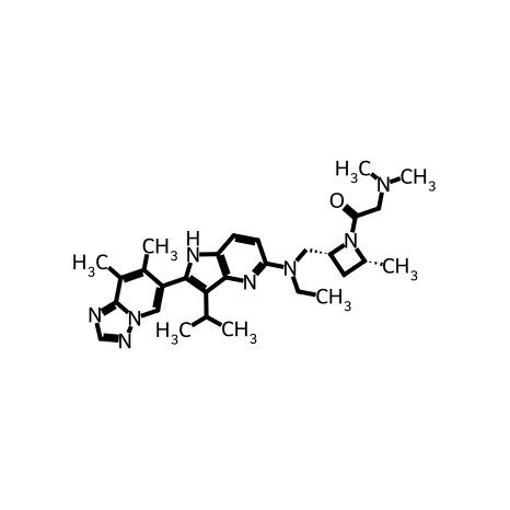 CCN(C[C@H]1C[C@@H](C)N1C(=O)CN(C)C)c1ccc2[nH]c(-c3cn4ncnc4c(C)c3C)c(C(C)C)c2n1